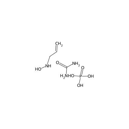 C=CCNO.NC(N)=O.O=P(O)(O)O